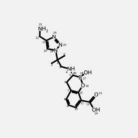 CC(C)(CN[C@H]1Cc2cccc(C(=O)O)c2OB1O)n1cc(CN)nn1